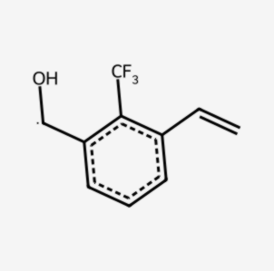 C=Cc1cccc([CH]O)c1C(F)(F)F